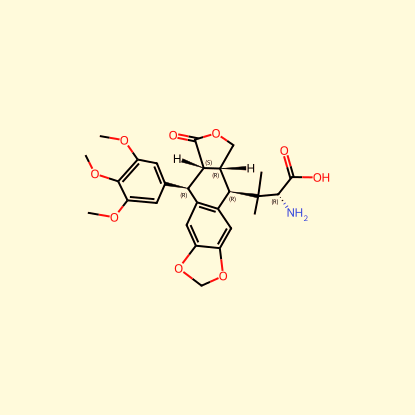 COc1cc([C@@H]2c3cc4c(cc3[C@H](C(C)(C)[C@@H](N)C(=O)O)[C@H]3COC(=O)[C@@H]23)OCO4)cc(OC)c1OC